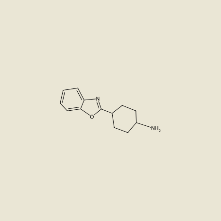 NC1CCC(c2nc3ccccc3o2)CC1